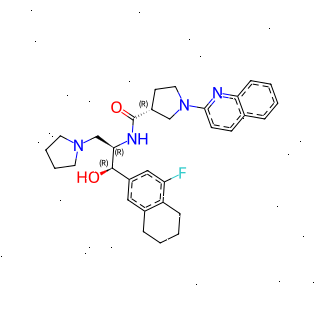 O=C(N[C@H](CN1CCCC1)[C@H](O)c1cc(F)c2c(c1)CCCC2)[C@@H]1CCN(c2ccc3ccccc3n2)C1